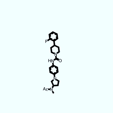 CC(=O)N(C)C1CCN(c2ccc(NC(=O)N3CCC(c4ccccc4F)CC3)cc2)C1